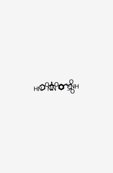 Cc1c(Oc2cccc(/C=C3\SC(=O)NC3=O)c2)ncnc1OC1CCNCC1